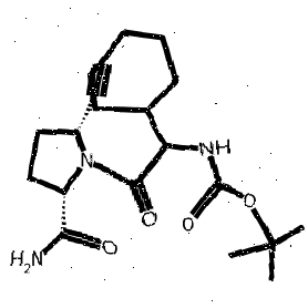 C#C[C@H]1CC[C@@H](C(N)=O)N1C(=O)C(NC(=O)OC(C)(C)C)C1CCCCC1